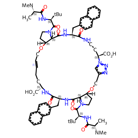 CN[C@@H](C)C(=O)N[C@H](C(=O)N1CC[C@H]2OC/C=C/CC[C@@H](C(=O)O)NC(=O)[C@H](Cc3ccc4ccccc4c3)NC(=O)[C@@H]3[C@@H](CCN3C(=O)[C@@H](NC(=O)[C@H](C)NC)C(C)(C)C)OCc3cn(nn3)[C@H](C(=O)O)CCNC(=O)[C@H](Cc3ccc4ccccc4c3)NC(=O)[C@H]21)C(C)(C)C